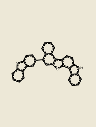 c1ccc2c(c1)[nH]c1ccc3c(oc4cc(-c5ccc6sc7ccccc7c6c5)c5ccccc5c43)c12